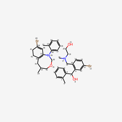 Cc1ccccc1C(O)c1cc(Br)ccc1CN(C)CCO.Cc1ccccc1N1COCC(C)CC2=C1C=C(Br)CC2